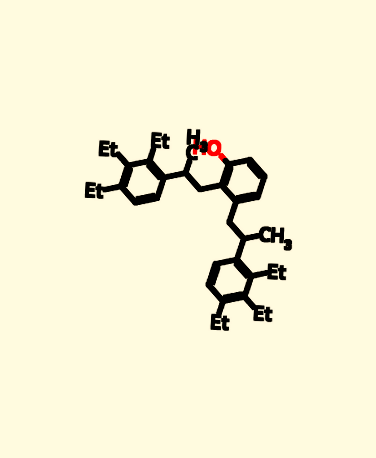 CCc1ccc(C(C)Cc2cccc(O)c2CC(C)c2ccc(CC)c(CC)c2CC)c(CC)c1CC